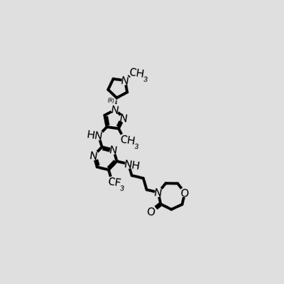 Cc1nn([C@@H]2CCN(C)C2)cc1Nc1ncc(C(F)(F)F)c(NCCCN2CCOCCC2=O)n1